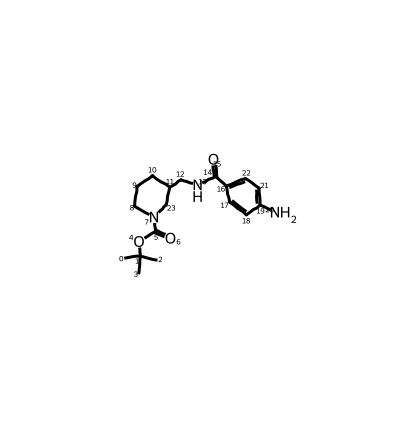 CC(C)(C)OC(=O)N1CCCC(CNC(=O)c2ccc(N)cc2)C1